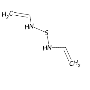 C=CNSNC=C